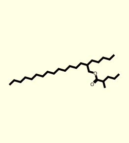 CCCCCCCCCCCCCCC(CCCCC)COC(=O)C(C)CCC